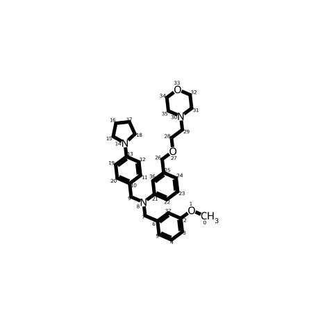 COc1cccc(CN(Cc2ccc(N3CCCC3)cc2)c2cccc(COCCN3CCOCC3)c2)c1